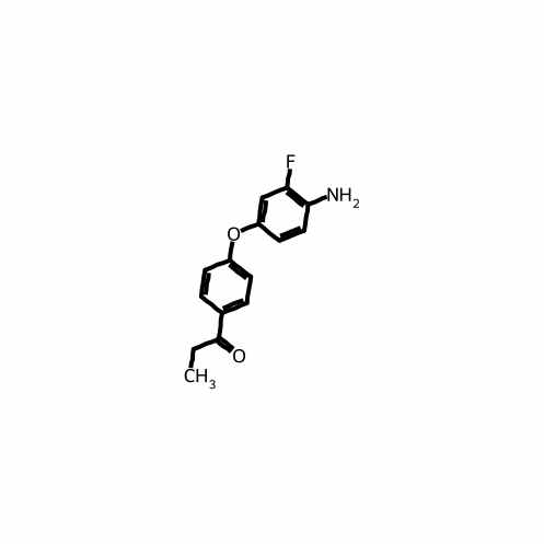 CCC(=O)c1ccc(Oc2ccc(N)c(F)c2)cc1